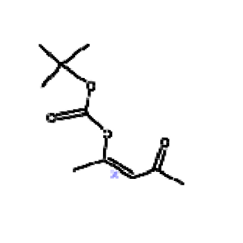 CC(=O)/C=C(/C)OC(=O)OC(C)(C)C